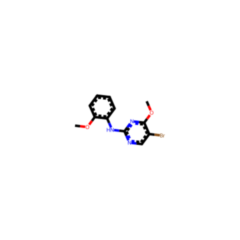 COc1c[c]ccc1Nc1ncc(Br)c(OC)n1